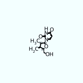 C=C1[C@H](CO)O[C@H](n2ccc(=O)[nH]c2=O)[C@H]1C